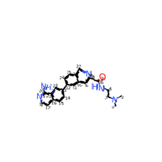 CN(C)CCNC(=O)c1cc2cc(-c3ccc4ccnc(N)c4c3)ccc2cn1